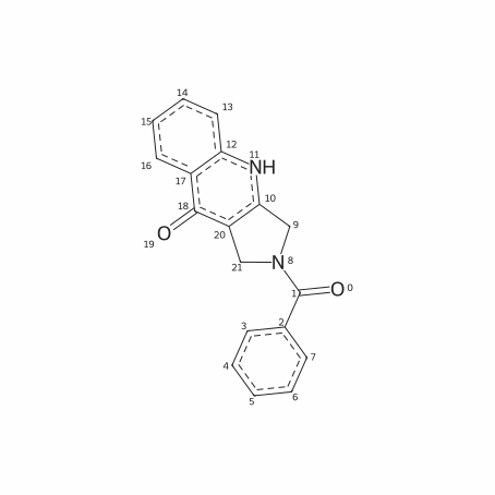 O=C(c1ccccc1)N1Cc2[nH]c3ccccc3c(=O)c2C1